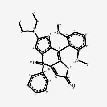 CCN(CC)c1cc2c(s1)C(c1c(OC)cccc1OC)=C1SC(=N)C=C1P2(=O)c1ccccc1